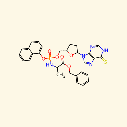 CC(NP(=O)(OC[C@@H]1CCC(n2cnc3c(=S)[nH]cnc32)O1)Oc1cccc2ccccc12)C(=O)OCc1ccccc1